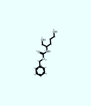 O=C(NC(CO)CCCO)OCc1ccccc1